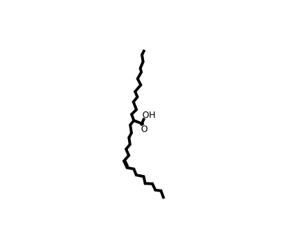 CCCCCCCC/C=C\CCCCCCC(CCCCCCCCCCCC)C(=O)O